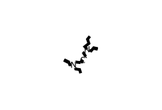 C=CCN(CC=C=CCN(CC=C)CCCC)CCC